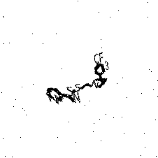 FC(F)(F)c1ccc(C23CC2CN(CCCSc2ncc(-c4cccnc4)s2)C3)cc1